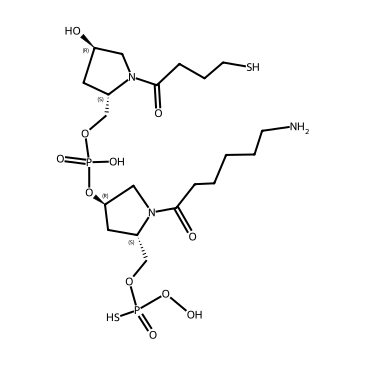 NCCCCCC(=O)N1C[C@H](OP(=O)(O)OC[C@@H]2C[C@@H](O)CN2C(=O)CCCS)C[C@H]1COP(=O)(S)OO